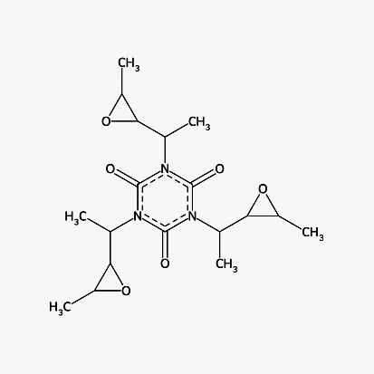 CC1OC1C(C)n1c(=O)n(C(C)C2OC2C)c(=O)n(C(C)C2OC2C)c1=O